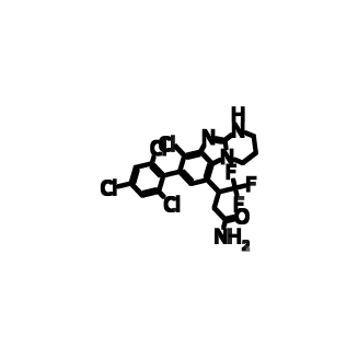 NC(=O)CC(c1cc(-c2c(Cl)cc(Cl)cc2Cl)c(Cl)c2nc3n(c12)CCCN3)C(F)(F)F